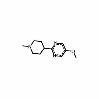 COc1cnc(C2CCN(C)CC2)nc1